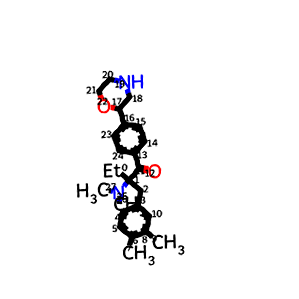 CCC(Cc1ccc(C)c(C)c1)(C(=O)c1ccc(C2CNCCO2)cc1)N(C)C